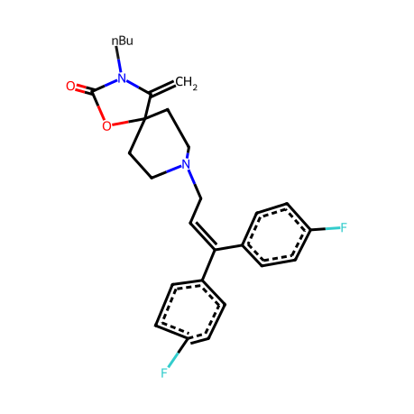 C=C1N(CCCC)C(=O)OC12CCN(CC=C(c1ccc(F)cc1)c1ccc(F)cc1)CC2